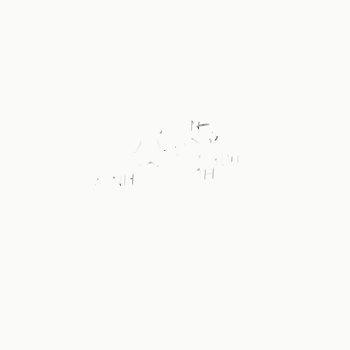 CC(=O)Nc1cccc(SCC(O)(c2cncs2)C(C)(C)C)c1